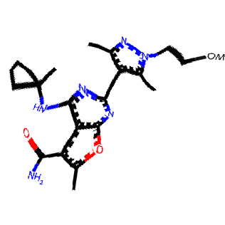 COCCn1nc(C)c(-c2nc(NC3(C)CC3)c3c(C(N)=O)c(C)oc3n2)c1C